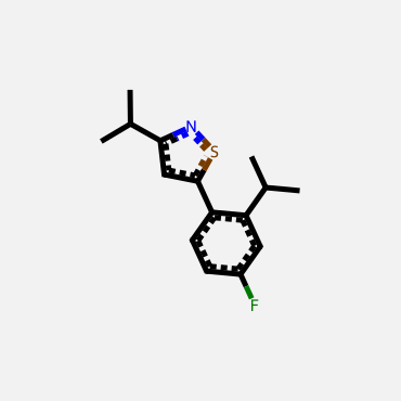 CC(C)c1cc(-c2ccc(F)cc2C(C)C)sn1